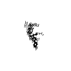 C=CCn1c(O[C@@H]2CO[C@H]3[C@@H]2OC[C@H]3O[Si](C)(C)C(C)(C)C)nc2nc(-c3ccc(Br)cc3)c(Cl)cc21